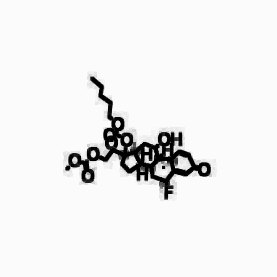 CCCCCOC(=O)O[C@]1(C(=O)COC(=O)OC)CC[C@H]2[C@@H]3C[C@H](F)C4=CC(=O)C=C[C@]4(C)[C@H]3C(O)C[C@@]21C